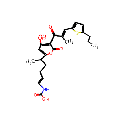 CCCc1ccc(/C=C(\C)C(=O)c2c(O)cc(C(C)CCC=CNC(=O)O)oc2=O)s1